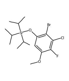 COc1cc(O[Si](C(C)C)(C(C)C)C(C)C)c(Br)c(Cl)c1F